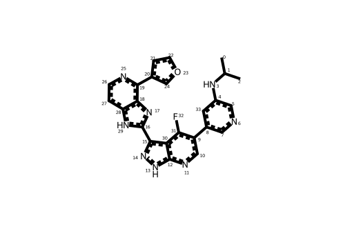 CC(C)Nc1cncc(-c2cnc3[nH]nc(-c4nc5c(-c6ccoc6)nccc5[nH]4)c3c2F)c1